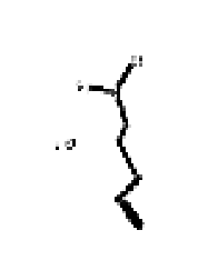 C=CCCCN(CC)CC.Cl